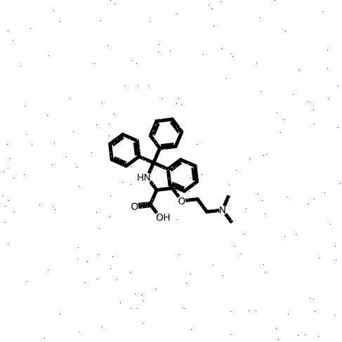 CN(C)CCOCC(NC(c1ccccc1)(c1ccccc1)c1ccccc1)C(=O)O